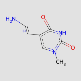 Cn1cc(/C=C/N)c(=O)[nH]c1=O